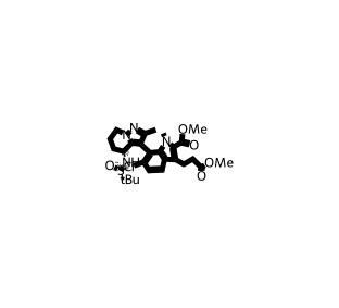 COC(=O)CCc1c(C(=O)OC)n(C)c2c(-c3c(C)nn4c3[C@H](N[S@+]([O-])C(C)(C)C)CCC4)c(Cl)ccc12